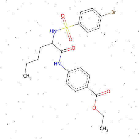 CCCCC(NS(=O)(=O)c1ccc(Br)cc1)C(=O)Nc1ccc(C(=O)OCC)cc1